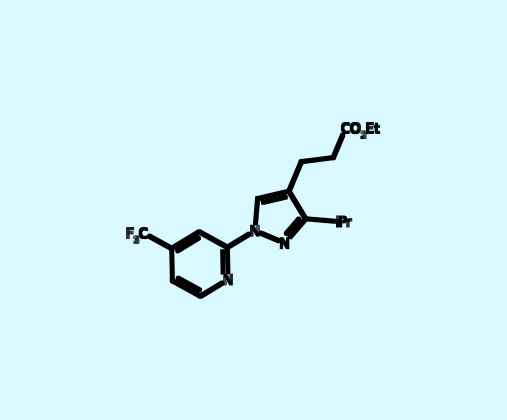 CCOC(=O)CCc1cn(-c2cc(C(F)(F)F)ccn2)nc1C(C)C